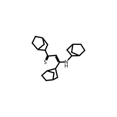 S=C(C=C(NC1CC2CCC1C2)C1CC2CCC1C2)C1CC2CCC1C2